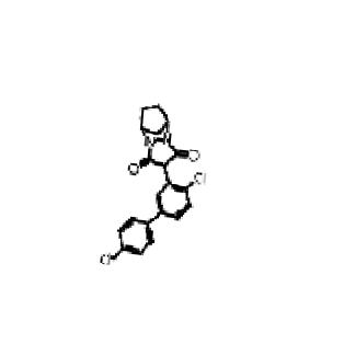 O=C1C(c2cc(-c3ccc(Cl)cc3)ccc2Cl)C(=O)N2C3CCC(C3)N12